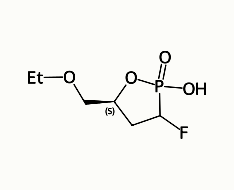 CCOC[C@@H]1CC(F)P(=O)(O)O1